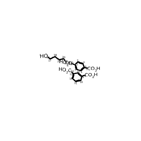 O=C(O)c1ccc(C(=O)O)cc1.O=C(O)c1cccc(C(=O)O)c1.OCCCCO